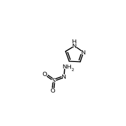 NN=S(=O)=O.c1cn[nH]c1